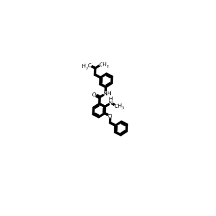 CNc1c(OCc2ccccc2)cccc1C(=O)Nc1cccc(CC(C)C)c1